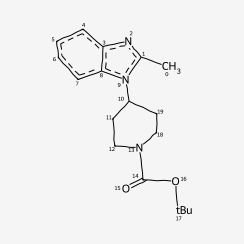 Cc1nc2ccccc2n1C1CCN(C(=O)OC(C)(C)C)CC1